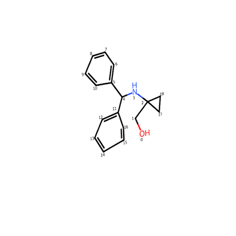 OCC1(NC(c2ccccc2)c2ccccc2)CC1